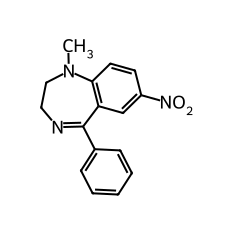 CN1CCN=C(c2ccccc2)c2cc([N+](=O)[O-])ccc21